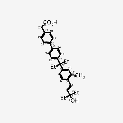 CCC(O)(/C=C/c1ccc(C(CC)(CC)c2ccc(-c3ccc(CC(=O)O)cc3)cc2)cc1C)CC